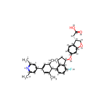 CC1=CC(c2cc(C)nc(C)c2)=CC(C)C1c1ccc(F)c2c1CC[C@H]2Oc1ccc2c(c1)OC[C@H]2CC(=O)O